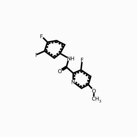 COc1cnc(C(=O)Nc2ccc(F)c(I)c2)c(F)c1